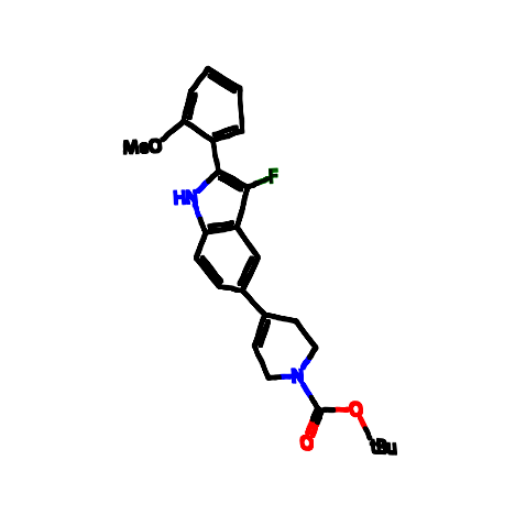 COc1ccccc1-c1[nH]c2ccc(C3=CCN(C(=O)OC(C)(C)C)CC3)cc2c1F